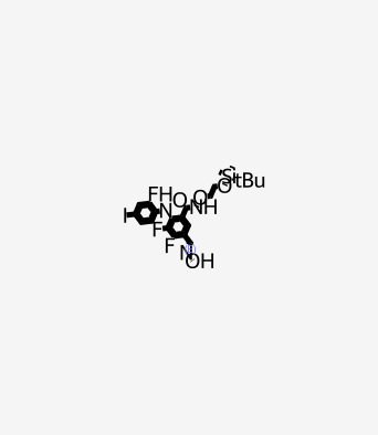 CC(C)(C)[Si](C)(C)OCCONC(=O)c1cc(/C=N/O)c(F)c(F)c1Nc1ccc(I)cc1F